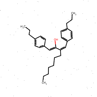 CCCCCCCC(=Cc1ccc(CCC)cc1)C(O)=Cc1ccc(CCC)cc1